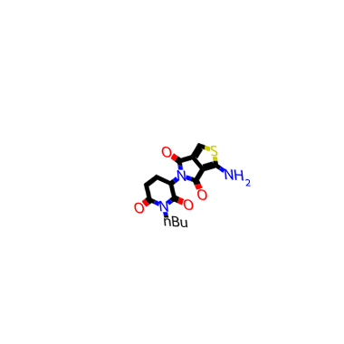 CCCCN1C(=O)CCC(N2C(=O)c3csc(N)c3C2=O)C1=O